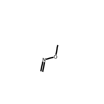 [CH]=NOC